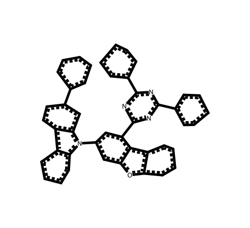 c1ccc(-c2ccc3c4ccccc4n(-c4cc(-c5nc(-c6ccccc6)nc(-c6ccccc6)n5)c5c(c4)oc4ccccc45)c3c2)cc1